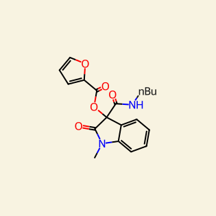 CCCCNC(=O)C1(OC(=O)c2ccco2)C(=O)N(C)c2ccccc21